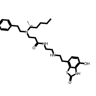 CCCC[C@@H](C)N(CCC(=O)NCCNCCc1ccc(O)c2[nH]c(=O)sc12)CCc1ccccc1